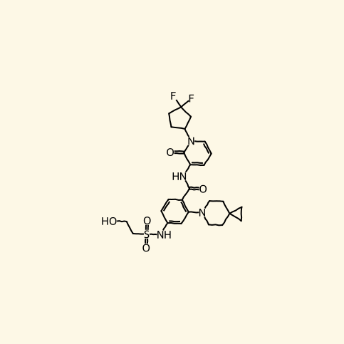 O=C(Nc1cccn(C2CCC(F)(F)C2)c1=O)c1ccc(NS(=O)(=O)CCO)cc1N1CCC2(CC1)CC2